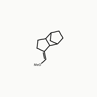 COC=C1CCC2C3CCC(C3)C12